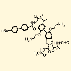 CCCCc1ccc(-c2ccc(C(=O)NCC(=O)N(C)C(C)c3ccc(OCCN)c(-c4cc(CC(NC(=O)[C@H](C)NC=O)C(=O)N[S+]([O-])C(F)(F)F)ccc4OCCN)c3)cc2)cc1